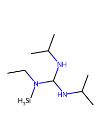 CCN([SiH3])C(NC(C)C)NC(C)C